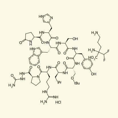 CC(C)C[C@H](NC(=O)[C@@H](COC(C)(C)C)NC(=O)[C@H](Cc1ccc(O)cc1)NC(=O)[C@H](CO)NC(=O)[C@H](Cc1c[nH]c2ccccc12)NC(=O)[C@H](Cc1c[nH]cn1)NC(=O)[C@@H]1CCC(=O)N1)C(=O)N[C@@H](CCCNC(=N)N)C(=O)N1CCC[C@H]1C(=O)NNC(N)=O.Cl.NCCCC(N)(C(=O)O)C(F)F